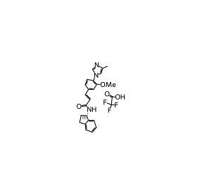 COc1cc(C=CC(=O)N[C@H]2CCc3ccccc32)ccc1-n1cnc(C)c1.O=C(O)C(F)(F)F